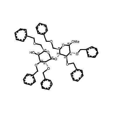 CO[C@@H]1O[C@H](COCc2ccccc2)[C@@H](O[C@@H]2O[C@H](COCc3ccccc3)[C@H](O)[C@H](OCc3ccccc3)[C@H]2OCc2ccccc2)[C@H](OCc2ccccc2)[C@H]1OCc1ccccc1